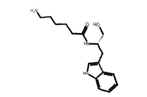 NCCCCCC(=O)N[C@H](CO)Cc1c[nH]c2ccccc12